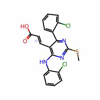 CSc1nc(Nc2ccccc2Cl)c(/C=C/C(=O)O)c(-c2ccccc2Cl)n1